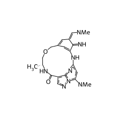 CN/C=C1/C=C2C=C(Nc3cc(NC)n4ncc(c4n3)C(=O)N[C@H](C)COC2)C1=N